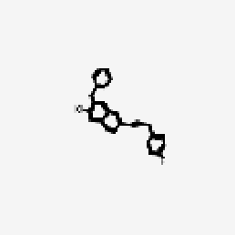 Oc1cc2ccc(C#CCc3ccc(F)cc3)cc2cc1Cc1ccccc1